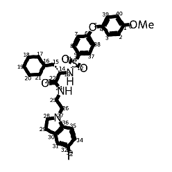 COc1ccc(Oc2ccc(S(=O)(=O)N[C@@H](CC3CCCCC3)C(=O)NCCN3CCc4cc(F)ccc43)cc2)cc1